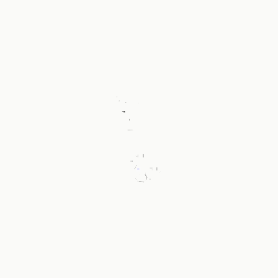 CC(C)(C)OC(=O)N1CCC(CCCCNC(=O)/C=C/c2cccnc2P)CC1